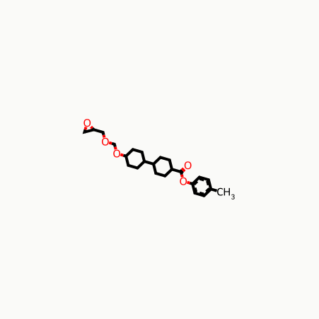 Cc1ccc(OC(=O)C2CCC(C3CCC(OCOCC4CO4)CC3)CC2)cc1